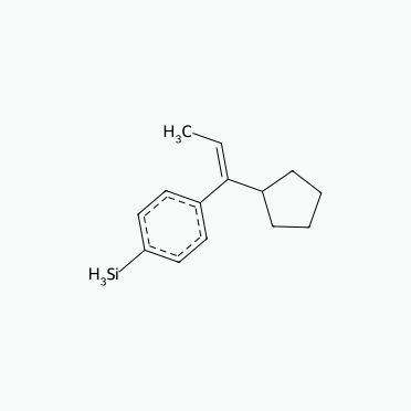 C/C=C(\c1ccc([SiH3])cc1)C1CCCC1